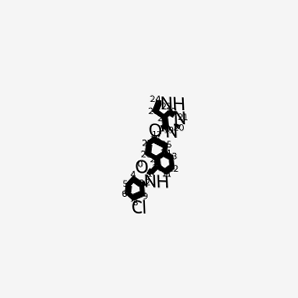 O=C(Nc1cccc(Cl)c1)c1cccc2cc(Oc3ncnc4[nH]ccc34)ccc12